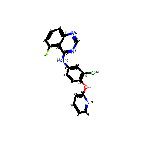 Fc1cccc2ncnc(Nc3ccc(Oc4ccccn4)c(Cl)c3)c12